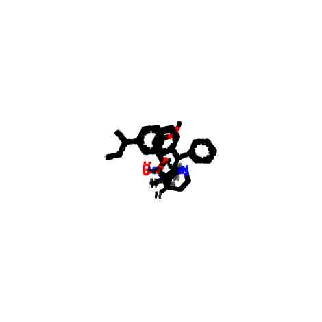 CCC(C)c1ccc(OC)c(CN[C@H]2[C@H]3CCN(C[C@@H]3C(=O)O)[C@H]2C(c2ccccc2)c2ccccc2)c1